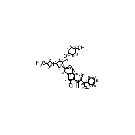 CC1CN([C@H]2C[C@@H](CO[C@H]3CC[C@H](C)CC3)N(C(=O)Cc3cc(Cl)c(NC(=O)c4coc5ccccc45)cc3F)C2)C1